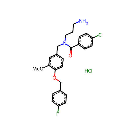 COc1cc(CN(CCCN)C(=O)c2ccc(Cl)cc2)ccc1OCc1ccc(F)cc1.Cl